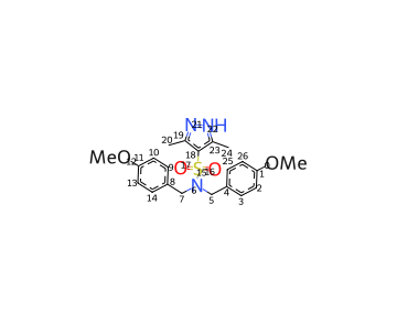 COc1ccc(CN(Cc2ccc(OC)cc2)S(=O)(=O)c2c(C)n[nH]c2C)cc1